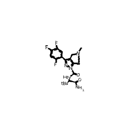 CN1CCc2c(c(-c3cc(F)c(F)cc3F)nn2C(=O)NC(C(N)=O)C(C)(C)C)C1